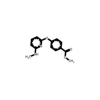 CNc1cccc(Oc2ccc(C(=O)OC)cc2)n1